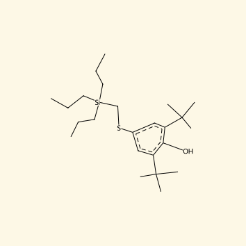 CCC[Si](CCC)(CCC)CSc1cc(C(C)(C)C)c(O)c(C(C)(C)C)c1